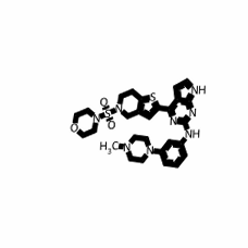 CN1CCN(c2cccc(Nc3nc(-c4cc5c(s4)CCN(S(=O)(=O)N4CCOCC4)C5)c4cc[nH]c4n3)c2)CC1